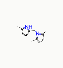 Cc1ccc(Cn2c(C)ccc2C)[nH]1